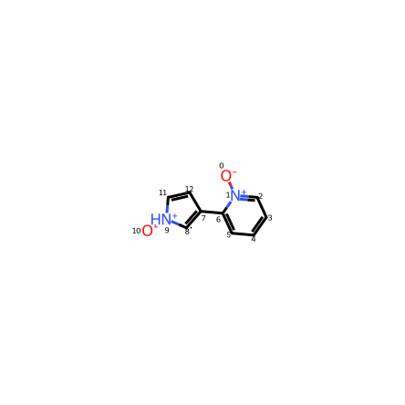 [O-][n+]1ccccc1C1=[C][NH+]([O-])C=C1